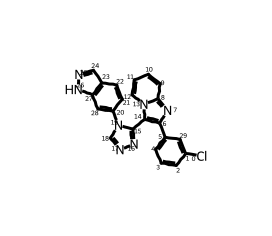 Clc1cccc(-c2nc3ccccn3c2-c2nncn2-c2ccc3cn[nH]c3c2)c1